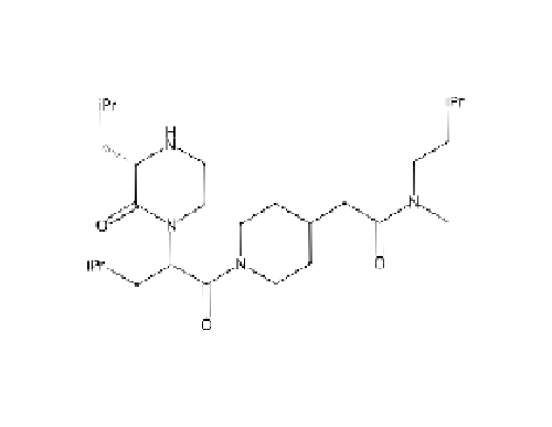 CC(C)CCN(C)C(=O)CC1CCN(C(=O)C(CC(C)C)N2CCN[C@@H](CC(C)C)C2=O)CC1